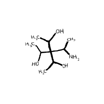 CC(N)C(C(C)O)(C(C)O)C(C)O